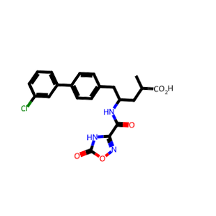 CC(CC(Cc1ccc(-c2cccc(Cl)c2)cc1)NC(=O)c1noc(=O)[nH]1)C(=O)O